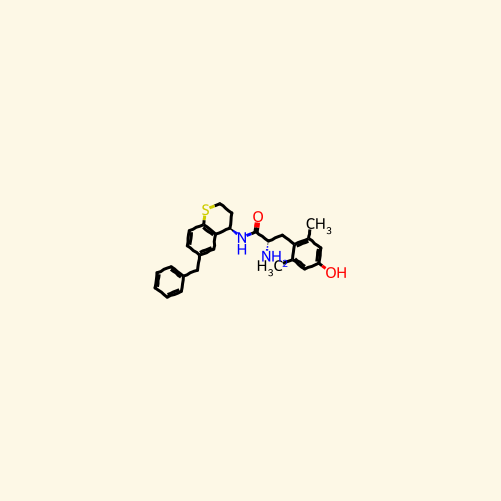 Cc1cc(O)cc(C)c1C[C@H](N)C(=O)N[C@@H]1CCSc2ccc(Cc3ccccc3)cc21